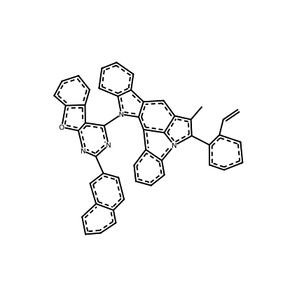 C=Cc1ccccc1-c1c(C)c2cc3c4ccccc4n(-c4nc(-c5ccc6ccccc6c5)nc5oc6ccccc6c45)c3c3c4ccccc4n1c23